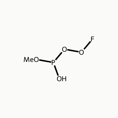 COP(O)OOF